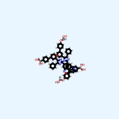 OBOc1ccc(-c2cccc(-c3c(-c4ccccc4)nc(-c4ccc5c(-c6ccc(OBO)cc6)ccnc5c4)n3C3(c4ccc5c(-c6ccc(B(O)O)cc6)ccnc5c4)N=C(c4ccccc4)C(c4cccc(-c5ccc(B(O)O)cc5)c4)=N3)c2)cc1